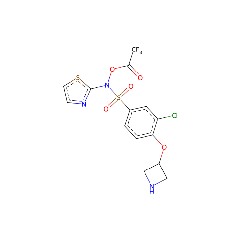 O=C(ON(c1nccs1)S(=O)(=O)c1ccc(OC2CNC2)c(Cl)c1)C(F)(F)F